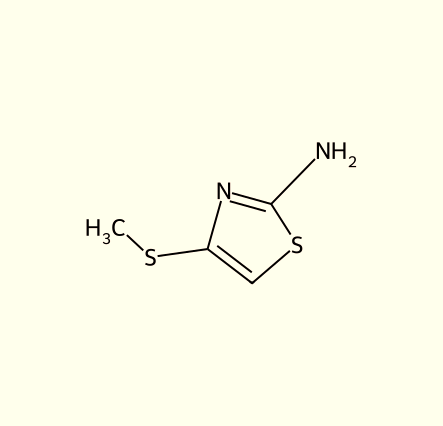 CSc1csc(N)n1